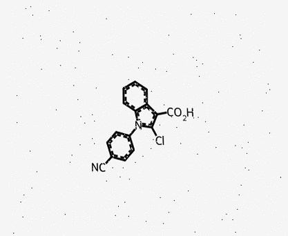 N#Cc1ccc(-n2c(Cl)c(C(=O)O)c3ccccc32)cc1